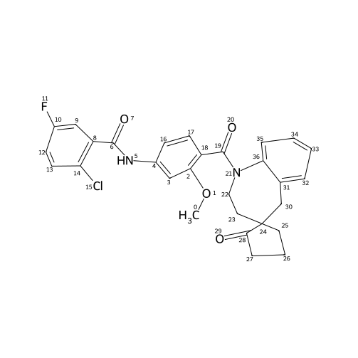 COc1cc(NC(=O)c2cc(F)ccc2Cl)ccc1C(=O)N1CCC2(CCCC2=O)Cc2ccccc21